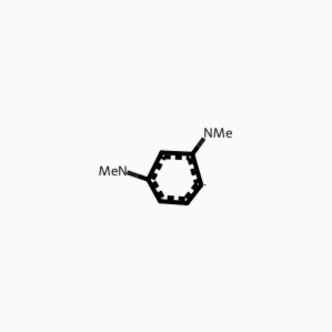 CNc1[c]ccc(NC)c1